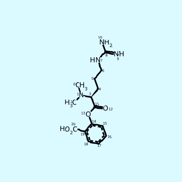 CN(C)[C@@H](CCCNC(=N)N)C(=O)Oc1ccccc1C(=O)O